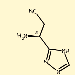 N#CC[C@H](N)c1nnc[nH]1